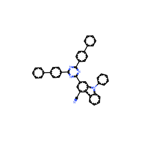 N#Cc1cc(-c2nc(-c3ccc(-c4ccccc4)cc3)nc(-c3ccc(-c4ccccc4)cc3)n2)cc2c1c1ccccc1n2-c1ccccc1